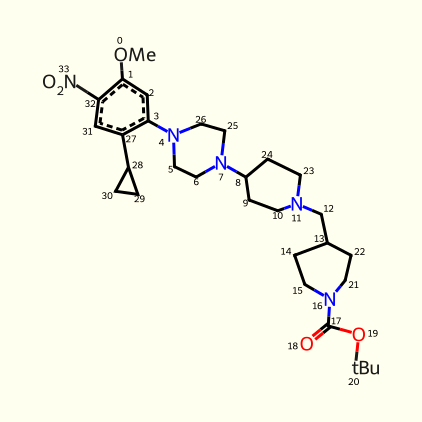 COc1cc(N2CCN(C3CCN(CC4CCN(C(=O)OC(C)(C)C)CC4)CC3)CC2)c(C2CC2)cc1[N+](=O)[O-]